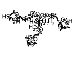 C[SiH2]O[Si](O[SiH2]O[SiH2]O[Si](C)(C)CC[SiH]1OC(C)C[SiH](C)O[SiH](C)O1)(O[SiH2]O[SiH2]O[Si](C)(C)CC[SiH]1O[SiH](C)CC(C)O[SiH](C)O1)O[Si](C)(C)O[Si](C)(C)O[Si](C)(C)CC[SiH]1OC(C)C[SiH](C)O[SiH](C)O1